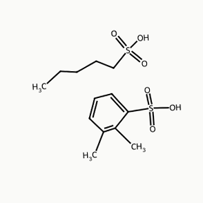 CCCCCS(=O)(=O)O.Cc1cccc(S(=O)(=O)O)c1C